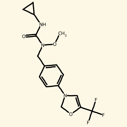 CON(Cc1ccc(N2C=C(C(F)(F)F)OC2)cc1)C(=O)NC1CC1